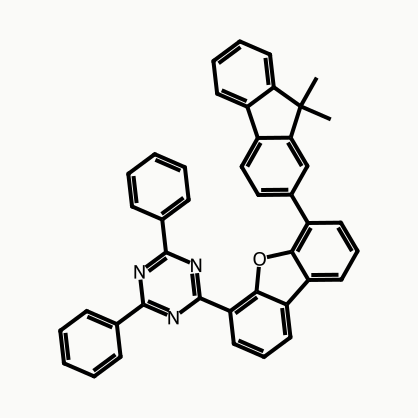 CC1(C)c2ccccc2-c2ccc(-c3cccc4c3oc3c(-c5nc(-c6ccccc6)nc(-c6ccccc6)n5)cccc34)cc21